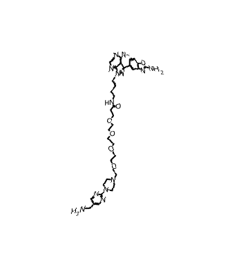 NCc1cnc(N2CCN(CCOCCOCCOCCOCCC(=O)NCCCCn3nc(-c4ccc5oc(N)nc5c4)c4c(N)ncnc43)CC2)nc1